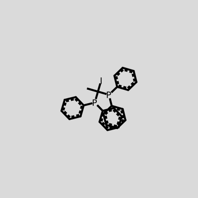 CC(I)(P(c1ccccc1)c1ccccc1)P(c1ccccc1)c1ccccc1